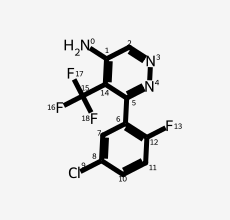 Nc1cnnc(-c2cc(Cl)ccc2F)c1C(F)(F)F